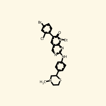 CCn1c(=O)c(-c2ccc(Br)cc2Cl)cc2cnc(Nc3ccc(C4CN(C)CCS4)cc3)nc21